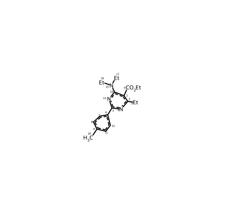 CCOC(=O)c1c(CC)nc(-c2ccc(C)cc2)nc1N(CC)CC